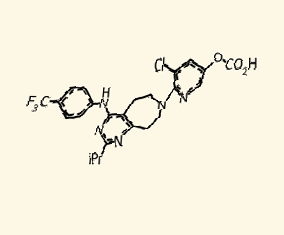 CC(C)c1nc2c(c(Nc3ccc(C(F)(F)F)cc3)n1)CCN(c1ncc(OC(=O)O)cc1Cl)CC2